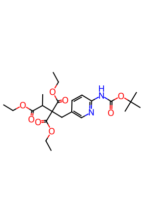 CCOC(=O)C(C)C(Cc1ccc(NC(=O)OC(C)(C)C)nc1)(C(=O)OCC)C(=O)OCC